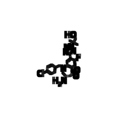 CC(C)(CO)n1nnc(-c2cc3c(cc2F)S(=O)(=O)C[C@H](N)CN3Cc2ccc(Cl)cc2)n1